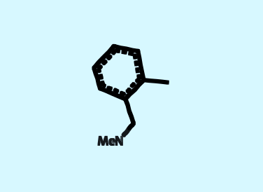 [CH2-][NH2+]Cc1ccccc1C